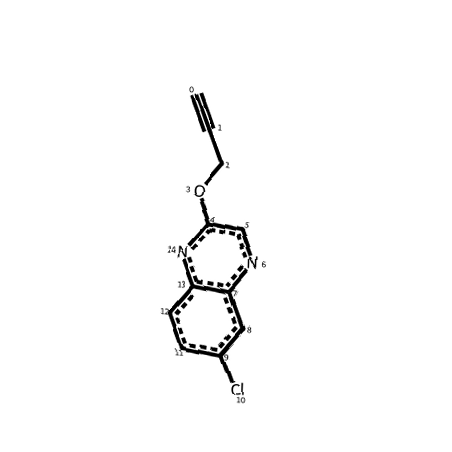 C#CCOc1cnc2cc(Cl)ccc2n1